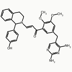 COc1cc(Cc2cnc(N)nc2N)cc(C(=O)/C=C/N2CCc3ccccc3C2c2ccc(O)cc2)c1OC